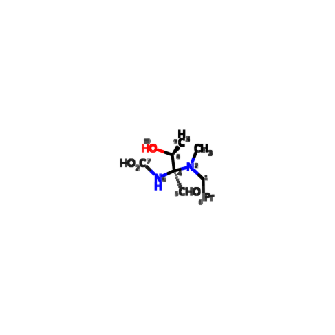 CC(C)CN(C)[C@@](C=O)(NC(=O)O)[C@H](C)O